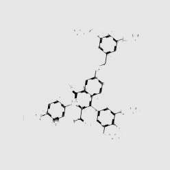 COC(=O)c1c(-c2cc(OC)c(Cl)c(OC)c2)c2ccc(OCc3cc(OC)cc(OC)c3)cc2c(=O)n1-c1ccc(N)cc1